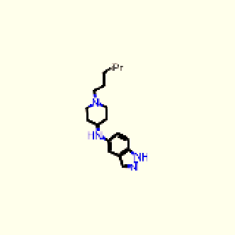 CC(C)CCCN1CCC(Nc2ccc3[nH]ncc3c2)CC1